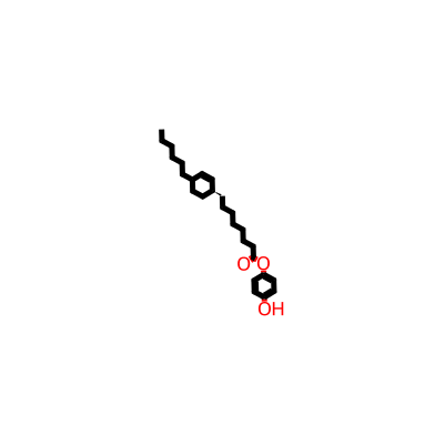 CCCCCCC1C=C[C@H](CCCCCCCC(=O)Oc2ccc(O)cc2)CC1